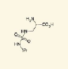 CC(C)NS(=O)(=O)NCC(N)C(=O)O